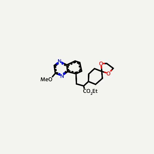 CCOC(=O)C(Cc1cccc2ncc(OC)nc12)C1CCC2(CC1)OCCO2